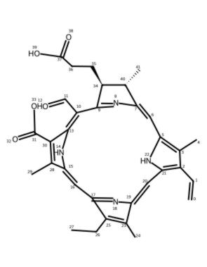 C=Cc1c(C)c2cc3nc(c(C=O)c4[nH]c(cc5nc(cc1[nH]2)C(C)=C5CC)c(C)c4C(=O)O)[C@@H](CCC(=O)O)[C@@H]3C